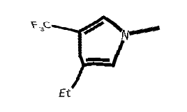 CCc1cn(C)cc1C(F)(F)F